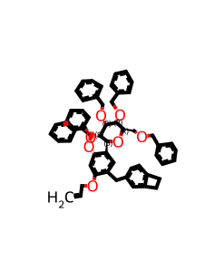 C=CCOc1cc(OCc2ccccc2)c([C@@H]2O[C@H](COCc3ccccc3)[C@@H](OCc3ccccc3)[C@H](OCc3ccccc3)[C@H]2OCc2ccccc2)cc1Cc1ccc2c(c1)CC2